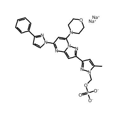 Cc1cc(-c2cc3nc(-n4ccc(-c5ccccc5)n4)cc(N4CCOCC4)n3n2)nn1COP(=O)([O-])[O-].[Na+].[Na+]